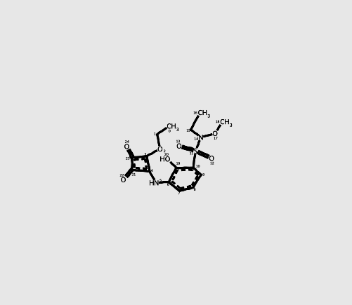 CCOc1c(Nc2cccc(S(=O)(=O)N(CC)OC)c2O)c(=O)c1=O